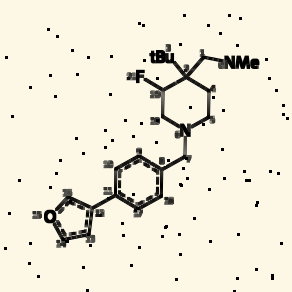 CNCC1(C(C)(C)C)CCN(Cc2ccc(-c3ccoc3)cc2)CC1F